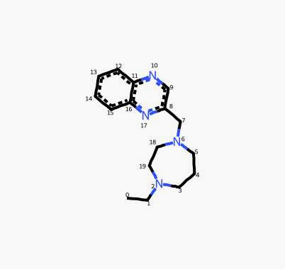 CCN1CCCN(Cc2cnc3ccccc3n2)CC1